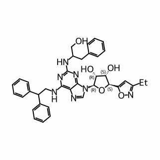 CCc1cc([C@H]2O[C@@H](n3cnc4c(NCC(c5ccccc5)c5ccccc5)nc(NC(CO)Cc5ccccc5)nc43)[C@H](O)[C@@H]2O)on1